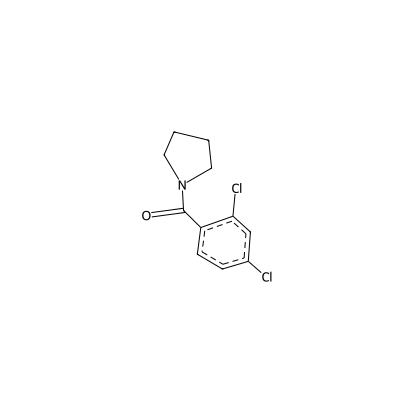 O=C(c1ccc(Cl)cc1Cl)N1CCCC1